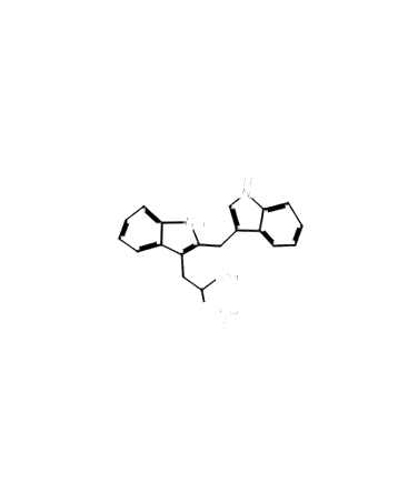 O=C(O)C(O)Cc1c(Cc2c[nH]c3ccccc23)[nH]c2ccccc12